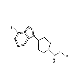 CC(C)(C)OC(=O)N1CCC(n2ccc3c(Br)nccc32)CC1